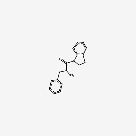 NC(Cc1ccccc1)C(=O)N1CCc2ccccc21